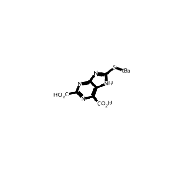 CC(C)(C)Sc1nc2nc(C(=O)O)nc(C(=O)O)c2[nH]1